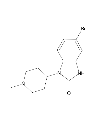 CN1CCC(n2c(=O)[nH]c3cc(Br)ccc32)CC1